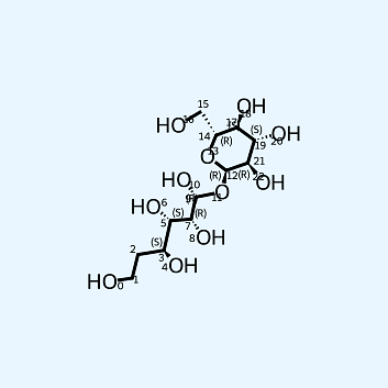 OCC[C@H](O)[C@H](O)[C@@H](O)[C@H](O)O[C@H]1O[C@H](CO)[C@@H](O)[C@H](O)[C@H]1O